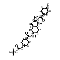 CC(C)(C)OC(=O)ON1CCC(C(=O)NC2CCC3NC(NC(=O)c4ccc(F)cc4)=NC=C3C2)CC1